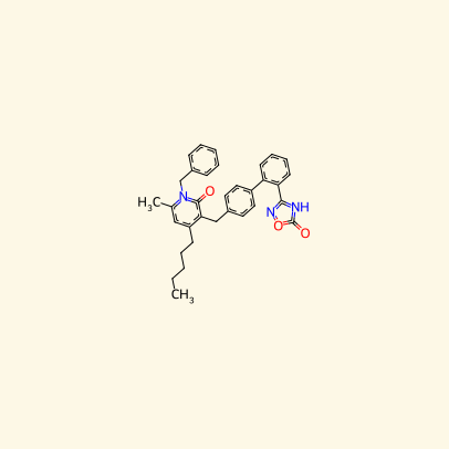 CCCCCc1cc(C)n(Cc2ccccc2)c(=O)c1Cc1ccc(-c2ccccc2-c2noc(=O)[nH]2)cc1